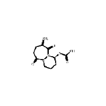 C=C1CCC(=O)N2CCC[C@H](OC(=O)O)N2C1=O